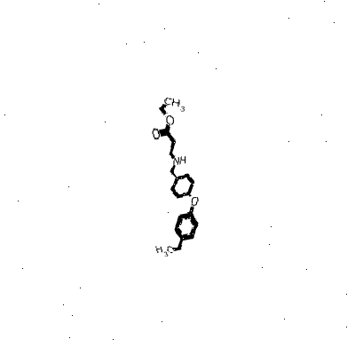 CCOC(=O)CCNC[C@H]1CC[C@H](Oc2ccc(CC)cc2)CC1